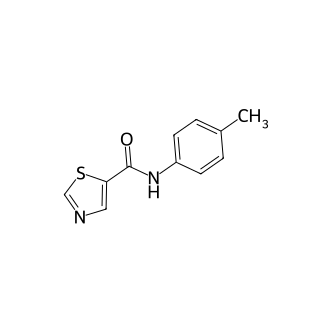 Cc1ccc(NC(=O)c2cncs2)cc1